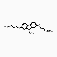 CNCCCOc1ccc2c3ccc(OCCCNC)cc3n(C)c2c1